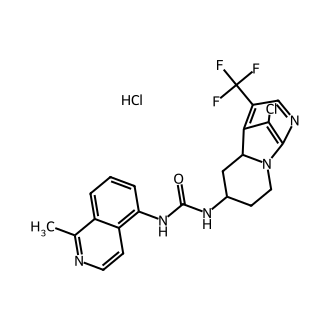 Cc1nccc2c(NC(=O)NC3CCN4c5ncc(C(F)(F)F)c(c5Cl)C4C3)cccc12.Cl